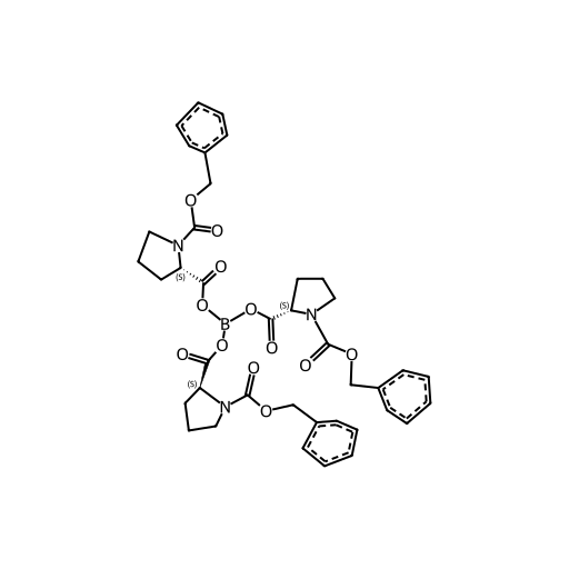 O=C(OB(OC(=O)[C@@H]1CCCN1C(=O)OCc1ccccc1)OC(=O)[C@@H]1CCCN1C(=O)OCc1ccccc1)[C@@H]1CCCN1C(=O)OCc1ccccc1